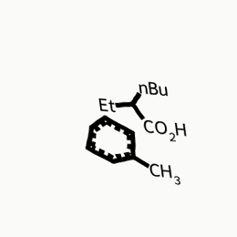 CCCCC(CC)C(=O)O.Cc1ccccc1